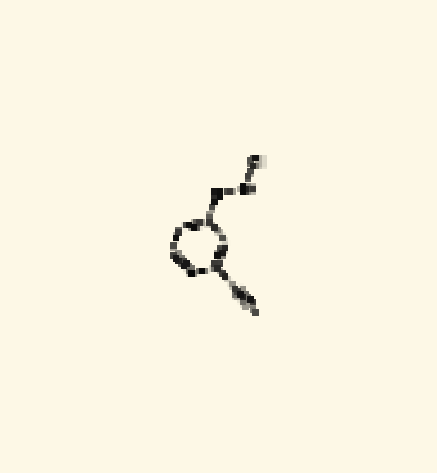 N#Cc1cccc(OBO)c1